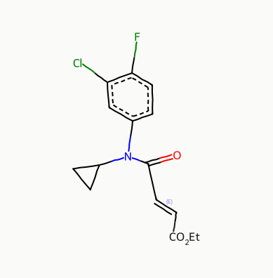 CCOC(=O)/C=C/C(=O)N(c1ccc(F)c(Cl)c1)C1CC1